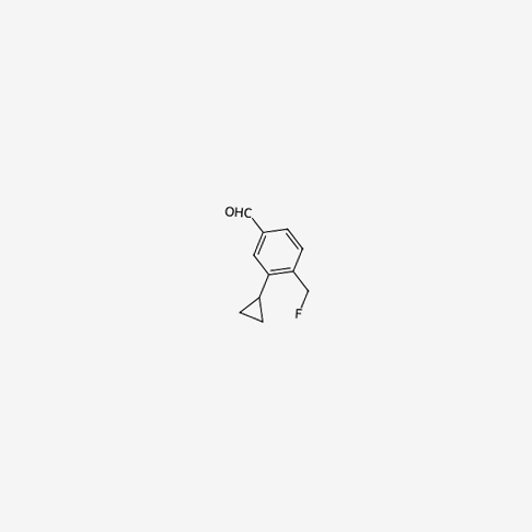 O=Cc1ccc(CF)c(C2CC2)c1